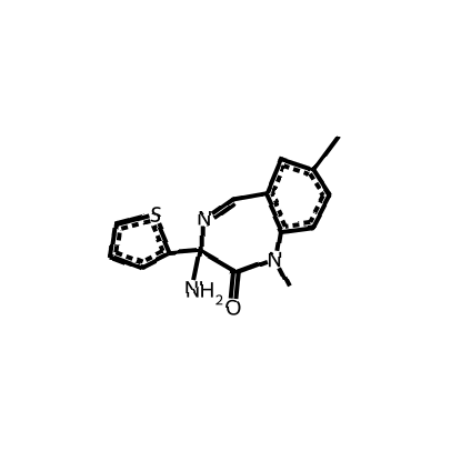 Cc1ccc2c(c1)C=NC(N)(c1cccs1)C(=O)N2C